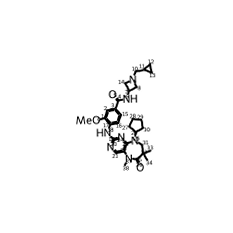 COc1cc(C(=O)NC2CN(CC3CC3)C2)ccc1Nc1ncc2c(n1)N(C1CCCC1)CC(C)(C)C(=O)N2C